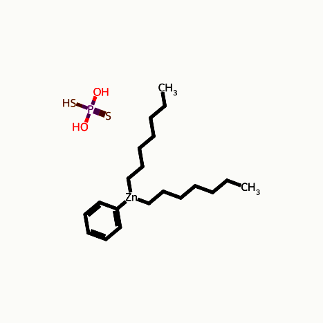 CCCCCC[CH2][Zn]([CH2]CCCCCC)[c]1ccccc1.OP(O)(=S)S